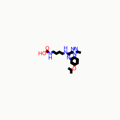 Cc1nnc2c(NCCCCNC(=O)O)nc3cc(OC(C)C)ccc3n12